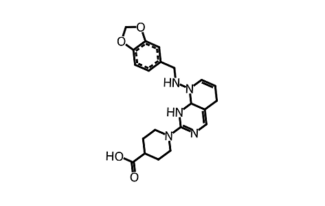 O=C(O)C1CCN(C2=NC=C3CC=CN(NCc4ccc5c(c4)OCO5)C3N2)CC1